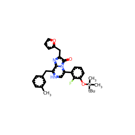 Cc1cccc(Cc2[nH]cc(-c3cccc(O[Si](C)(C)C(C)(C)C)c3F)n3c(=O)c(Cc4ccco4)nc2-3)c1